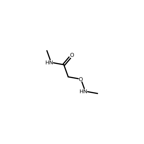 CNOCC(=O)NC